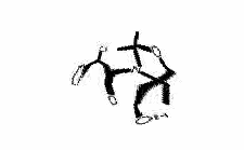 CC1(CO)COC(C)(C)N1C(=O)C(Cl)Cl